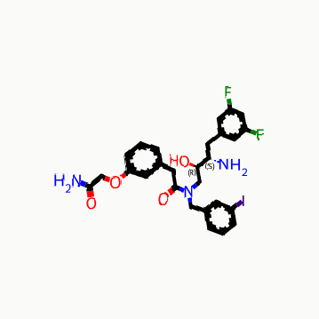 NC(=O)COc1cccc(CC(=O)N(Cc2cccc(I)c2)C[C@@H](O)[C@@H](N)Cc2cc(F)cc(F)c2)c1